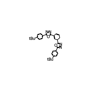 CC(C)(C)c1ccc(-c2nnc(C3=CC(c4nnc(-c5ccc(C(C)(C)C)cc5)o4)CC=C3)o2)cc1